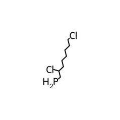 PCC(Cl)CCCCCCCl